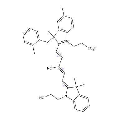 Cc1ccc2c(c1)C(C)(Cc1ccccc1C)C(/C=C/C(C#N)=C/C=C1/N(CCO)c3ccccc3C1(C)C)=[N+]2CCC(=O)O